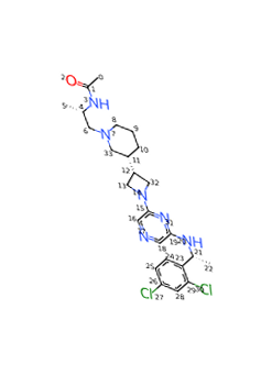 CC(=O)N[C@@H](C)CN1CCC[C@H](C2CN(c3cncc(N[C@H](C)c4ccc(Cl)cc4Cl)n3)C2)C1